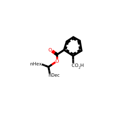 CCCCCCCCCCC(CCCCCC)OC(=O)c1ccccc1C(=O)O